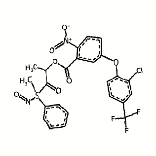 CC(OC(=O)c1cc(Oc2ccc(C(F)(F)F)cc2Cl)ccc1[N+](=O)[O-])C(=O)S(C)(N=O)c1ccccc1